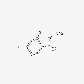 CCC(=NOC)c1ccc(F)cc1Cl